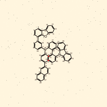 c1cc(-c2cccc3c2oc2ccccc23)cc(N(c2ccc(-c3ccc4ccccc4c3)cc2)c2ccccc2-c2ccccc2-n2c3ccccc3c3ccccc32)c1